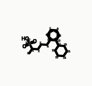 CC(CCCc1ccccc1C1CCCCC1)S(=O)(=O)O